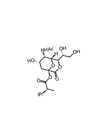 CC(=O)N[C@H]1[C@H]2O[C@@](OC(=O)[C@@H](C)C(C)C)(C[C@@H]1O)C(=O)O[C@@H]2[C@H](O)CO